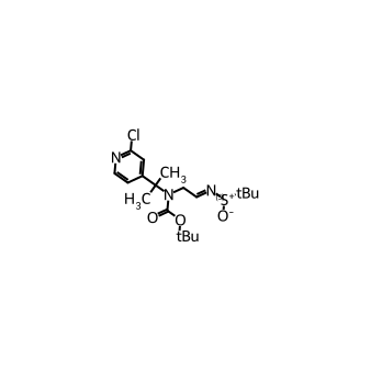 CC(C)(C)OC(=O)N(CC=N[S@+]([O-])C(C)(C)C)C(C)(C)c1ccnc(Cl)c1